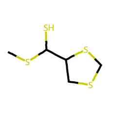 CSC(S)C1CSCS1